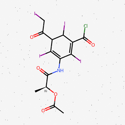 CC(=O)O[C@@H](C)C(=O)NC1=C(I)C(C(=O)CI)C(I)C(C(=O)Cl)=C1I